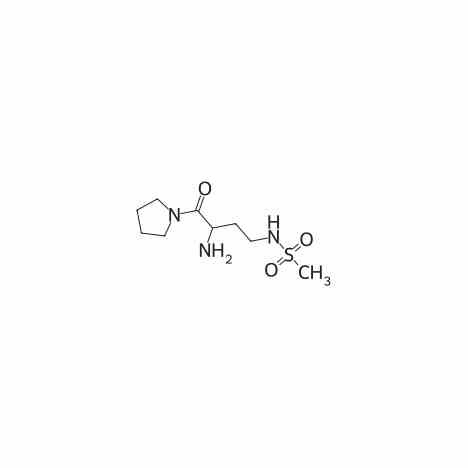 CS(=O)(=O)NCCC(N)C(=O)N1CCCC1